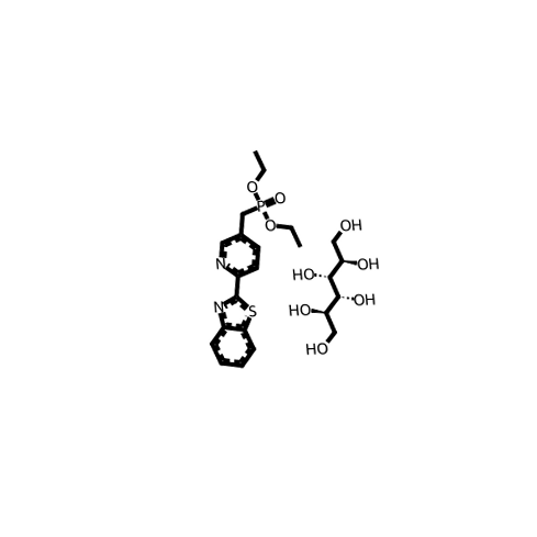 CCOP(=O)(Cc1ccc(-c2nc3ccccc3s2)nc1)OCC.OC[C@@H](O)[C@@H](O)[C@H](O)[C@H](O)CO